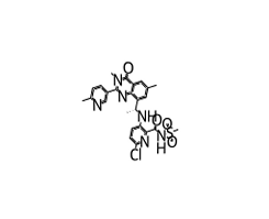 Cc1cc([C@@H](C)Nc2ccc(Cl)nc2C(=O)NS(C)(=O)=O)c2nc(-c3ccc(C)nc3)n(C)c(=O)c2c1